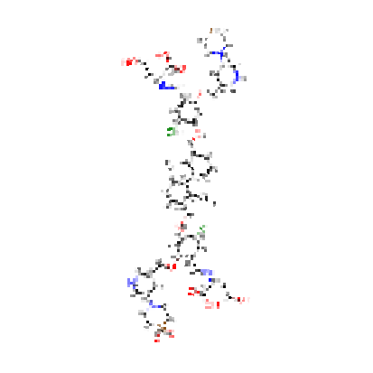 Cc1c(COc2cc(OCc3cncc(N4CCSCC4)c3)c(CNC(CCO)C(=O)O)cc2Cl)cccc1-c1cccc(COc2cc(OCc3cncc(N4CCS(=O)(=O)CC4)c3)c(CNC(CCO)C(=O)O)cc2Cl)c1C